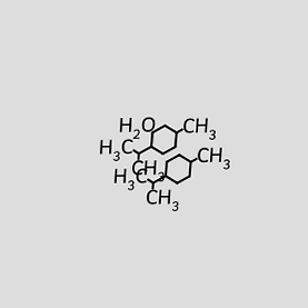 CC1CCC(C(C)C)CC1.CC1CCC(C(C)C)CC1.O